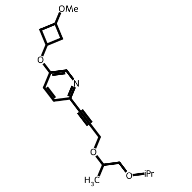 COC1CC(Oc2ccc(C#CCOC(C)COC(C)C)nc2)C1